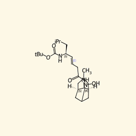 CC(C)C[C@@H](/C=C/CC(=O)NC1[C@@H]2CC3C[C@H]1CC(C)(C2)N3O)NC(=O)OC(C)(C)C